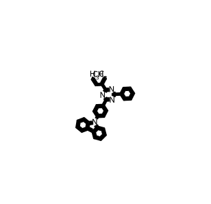 C/C=C\C(=C/C)c1nc(-c2ccccc2)nc(-c2ccc(-n3c4ccccc4c4ccccc43)cc2)n1